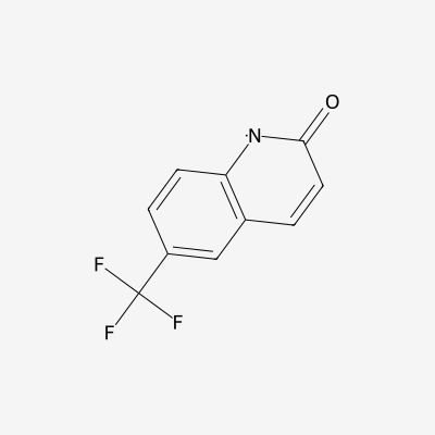 O=C1C=Cc2cc(C(F)(F)F)ccc2[N]1